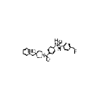 O=C(c1ccc(NS(=O)(=O)c2ccc(CF)cc2)cc1)N1CCC(O)(Cc2ccccc2)CC1